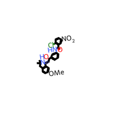 COc1ccc2c(c1)/C(=C/C(=O)c1cccc(NC(=O)c3cc([N+](=O)[O-])ccc3Cl)c1)NC(C)(C)C2